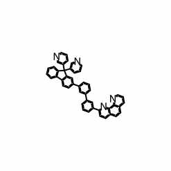 c1cc(-c2cccc(-c3ccc4ccc5cccnc5c4n3)c2)cc(-c2ccc3c(c2)C(c2cccnc2)(c2cccnc2)c2ccccc2-3)c1